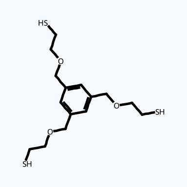 SCCOCc1cc(COCCS)cc(COCCS)c1